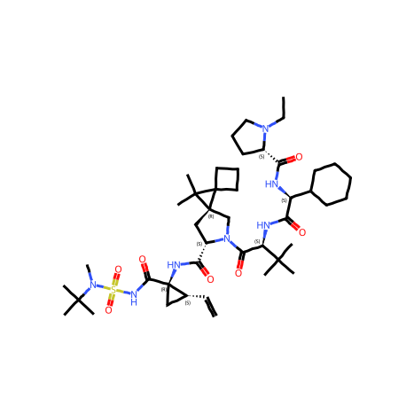 C=C[C@@H]1C[C@]1(NC(=O)[C@@H]1C[C@@]2(CN1C(=O)[C@@H](NC(=O)[C@@H](NC(=O)[C@@H]1CCCN1CC)C1CCCCC1)C(C)(C)C)C(C)(C)C21CCC1)C(=O)NS(=O)(=O)N(C)C(C)(C)C